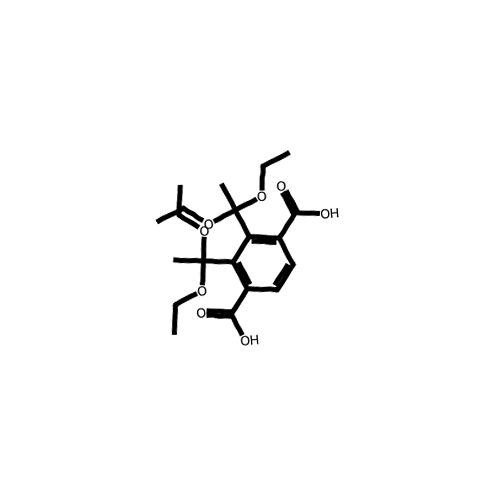 CCOC(C)(OCC)c1c(C(=O)O)ccc(C(=O)O)c1C(C)(OCC)OCC